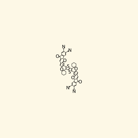 N#Cc1cc2c(cc1C#N)C(=O)C(=Cc1cc3c(s1)-c1sc4c5c(sc4c1C1(CCCCC1)O3)-c1sc(C=C3C(=O)c4cc(C#N)c(C#N)cc4C3=O)cc1OC51CCCCC1)C2=O